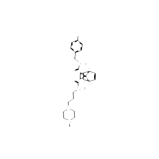 CN1CCN(CCCNC(=O)[C@H]2[C@H](C(=O)NCc3ccc(Br)cc3)[C@@H]3C=C[C@H]2C32CC2)CC1